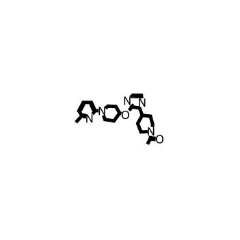 CC(=O)N1CCC(c2nccnc2OC2CCN(c3cccc(C)n3)CC2)CC1